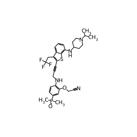 CC(C)N1CCC(Nc2cccc3c(CC(F)(F)F)c(C#CCNc4ccc(P(C)(C)=O)cc4OCC#N)sc23)CC1